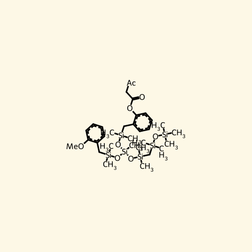 COc1ccccc1C[Si](C)(C)O[Si](C)(O[Si](C)(C)Cc1ccccc1OC(=O)CC(C)=O)O[Si](C)(C)C[Si](C)(C)O[Si](C)(C)C